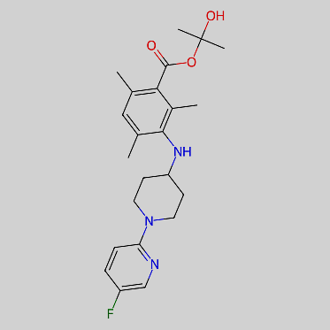 Cc1cc(C)c(C(=O)OC(C)(C)O)c(C)c1NC1CCN(c2ccc(F)cn2)CC1